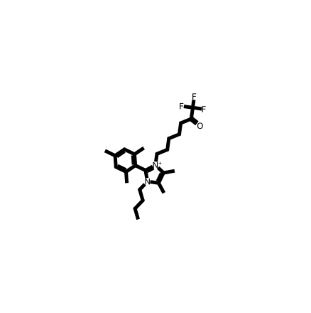 CCCCn1c(C)c(C)[n+](CCCCCC(=O)C(F)(F)F)c1-c1c(C)cc(C)cc1C